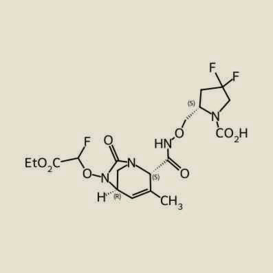 CCOC(=O)C(F)ON1C(=O)N2C[C@H]1C=C(C)[C@H]2C(=O)NOC[C@@H]1CC(F)(F)CN1C(=O)O